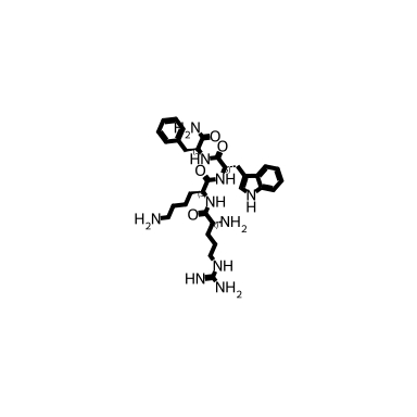 N=C(N)NCCC[C@@H](N)C(=O)N[C@@H](CCCCN)C(=O)N[C@@H](Cc1c[nH]c2ccccc12)C(=O)N[C@@H](Cc1ccccc1)C(N)=O